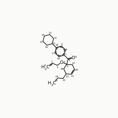 C=CCOC1(C(=O)c2ccc(C3CCCCC3)cc2)CC=CC(CCC)C1